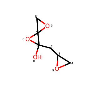 OC1(CC2CO2)OC12CO2